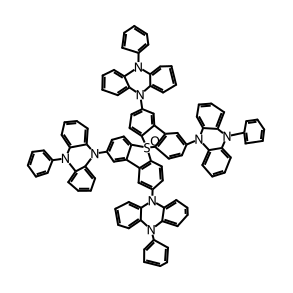 O=S12(c3ccc(N4c5ccccc5N(c5ccccc5)c5ccccc54)cc3-c3cc(N4c5ccccc5N(c5ccccc5)c5ccccc54)ccc31)c1ccc(N3c4ccccc4N(c4ccccc4)c4ccccc43)cc1-c1cc(N3c4ccccc4N(c4ccccc4)c4ccccc43)ccc12